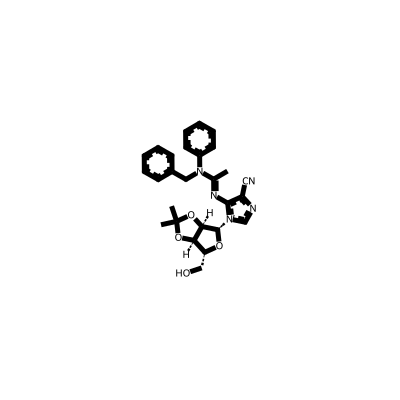 C/C(=N\c1c(C#N)ncn1[C@@H]1O[C@H](CO)[C@H]2OC(C)(C)O[C@H]21)N(Cc1ccccc1)c1ccccc1